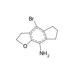 Nc1c2c(c(Br)c3c1OCC3)CCC2